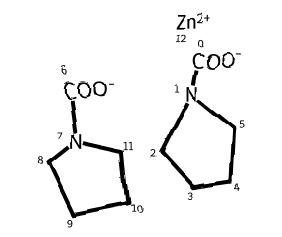 O=C([O-])N1CCCC1.O=C([O-])N1CCCC1.[Zn+2]